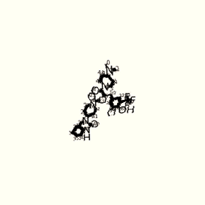 CN(C)C1CCN(C(=O)[C@@H](Cc2cc(Cl)c(O)c(C(F)(F)F)c2)OC(=O)N2CCC(N3Cc4ccccc4NC3=O)CC2)CC1